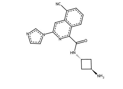 N#Cc1cccc2c(C(=O)N[C@H]3C[C@H](N)C3)nc(-n3ccnc3)cc12